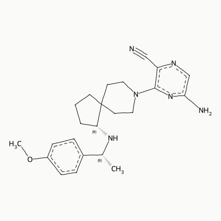 COc1ccc([C@@H](C)N[C@@H]2CCCC23CCN(c2nc(N)cnc2C#N)CC3)cc1